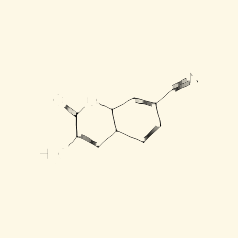 CC1=CC2C=CC(C#N)=CC2OC1=O